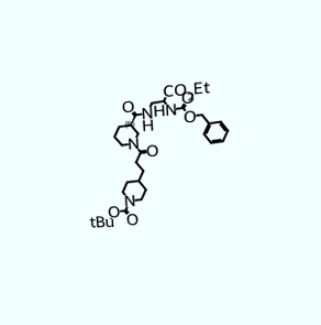 CCOC(=O)C(CNC(=O)[C@@H]1CCCN(C(=O)CCC2CCN(C(=O)OC(C)(C)C)CC2)C1)NC(=O)OCc1ccccc1